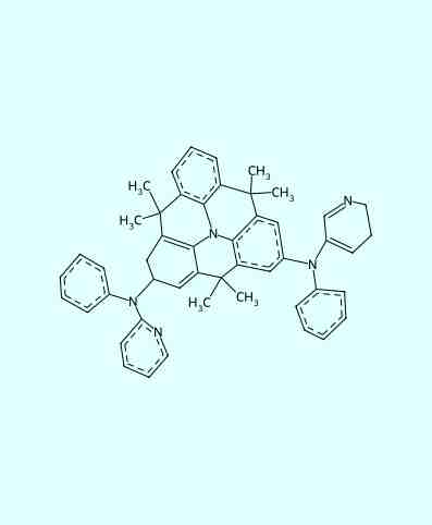 CC1(C)C2=CC(N(c3ccccc3)c3ccccn3)CC3=C2N2c4c1cc(N(C1=CCCN=C1)c1ccccc1)cc4C(C)(C)c1cccc(c12)C3(C)C